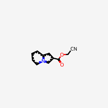 N#CCOC(=O)c1cc2ccccn2c1